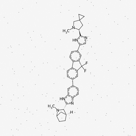 CN1CC2(CC2)C[C@H]1c1ncc(-c2ccc3c(c2)C(F)(F)c2cc(-c4ccc5nc([C@@H]6[C@H]7CCC(C7)N6C)[nH]c5c4)ccc2-3)[nH]1